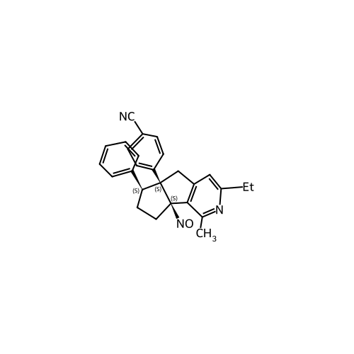 CCc1cc2c(c(C)n1)[C@]1(N=O)CC[C@@H](c3ccccc3)[C@]1(c1ccc(C#N)cc1)C2